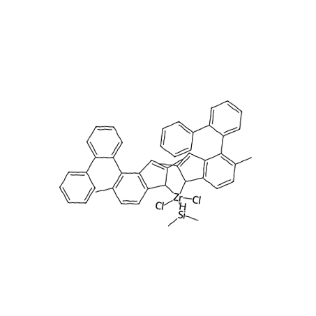 CC1=Cc2c(ccc(C)c2-c2ccccc2-c2ccccc2)[CH]1[Zr]([Cl])([Cl])([CH]1C(C)=Cc2c1ccc(C)c2-c1ccccc1-c1ccccc1)[SiH](C)C